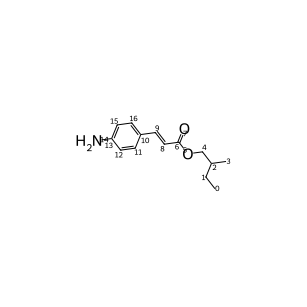 CCC(C)COC(=O)C=Cc1ccc(N)cc1